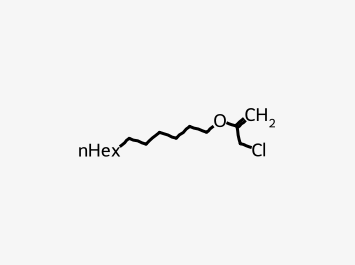 C=C(CCl)OCCCCCCCCCCCC